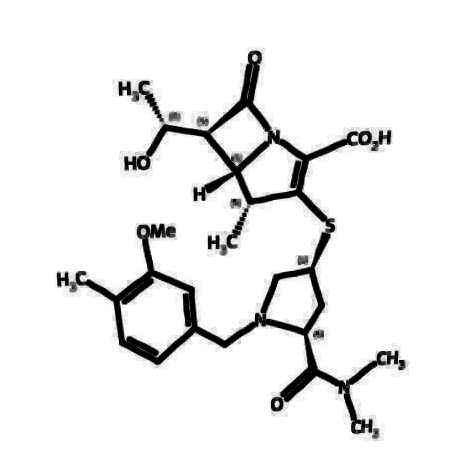 COc1cc(CN2C[C@@H](SC3=C(C(=O)O)N4C(=O)[C@H]([C@@H](C)O)[C@H]4[C@H]3C)C[C@H]2C(=O)N(C)C)ccc1C